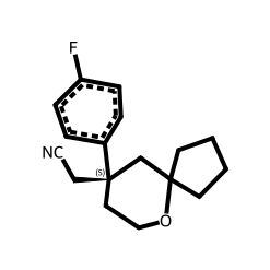 N#CC[C@]1(c2ccc(F)cc2)CCOC2(CCCC2)C1